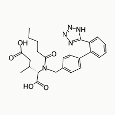 CCCCC(=O)N(Cc1ccc(-c2ccccc2-c2nnn[nH]2)cc1)[C@H](C(=O)O)C(C)CC(=O)O